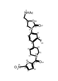 CC(=O)NCC1CN(c2ccc(C3=CCN(C(=O)c4ccc([N+](=O)[O-])o4)CC3)c(F)c2)C(=O)O1